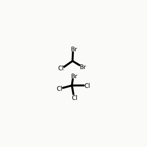 ClC(Br)Br.ClC(Cl)(Cl)Br